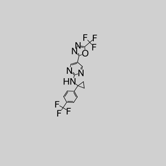 FC(F)(F)c1ccc(C2(Nc3ncc(-c4nnc(C(F)(F)F)o4)cn3)CC2)cc1